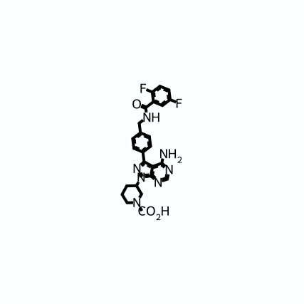 Nc1ncnc2c1c(-c1ccc(CNC(=O)c3cc(F)ccc3F)cc1)nn2C1CCCN(C(=O)O)C1